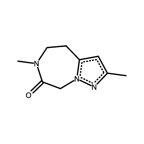 Cc1cc2n(n1)CC(=O)N(C)CC2